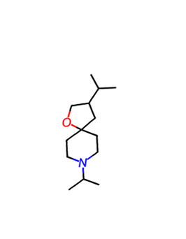 CC(C)C1COC2(CCN(C(C)C)CC2)C1